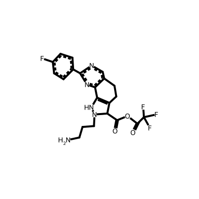 NCCCN1NC2=C(CCc3cnc(-c4ccc(F)cc4)nc32)C1C(=O)OC(=O)C(F)(F)F